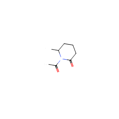 CC(=O)OC1CCCC(=O)N1C(=O)C(C)(C)C